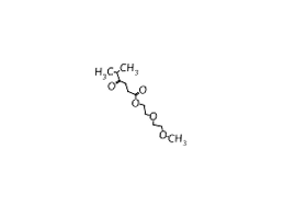 COCCOCCOC(=O)CCC(=O)C(C)C